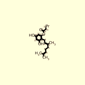 CC(C)=CCC/C(C)=C/Cc1c(O)cc(O)cc1OC(=O)CC(C)C